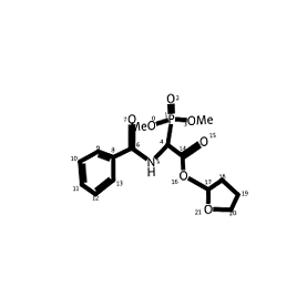 COP(=O)(OC)C(NC(=O)c1ccccc1)C(=O)OC1CCCO1